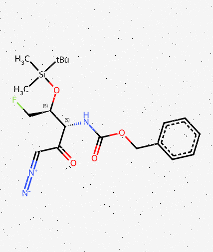 CC(C)(C)[Si](C)(C)O[C@H](CF)[C@H](NC(=O)OCc1ccccc1)C(=O)C=[N+]=[N-]